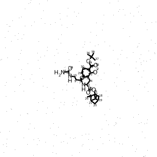 COc1c(CC(NC(=O)CCNC(N)=O)B2OC3CC4CC(C4(C)C)C3(C)O2)cccc1C(=O)OC(C)(C)C